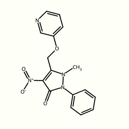 Cn1c(COc2cccnc2)c([N+](=O)[O-])c(=O)n1-c1ccccc1